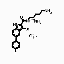 NCCC[C@H](N)CNC(=O)c1[nH]c2ccc(-c3ccc(F)cc3)cc2c1Br.[Cl-].[H+]